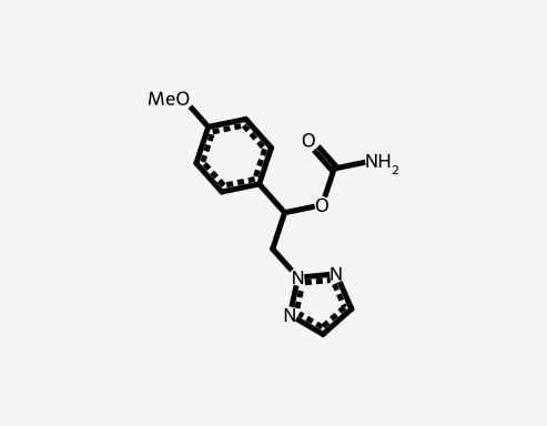 COc1ccc(C(Cn2nccn2)OC(N)=O)cc1